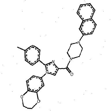 Cc1ccc(-c2nc(C(=O)N3CCN(c4ccc5ccccc5c4)CC3)cn2-c2ccc3c(c2)OCCO3)cc1